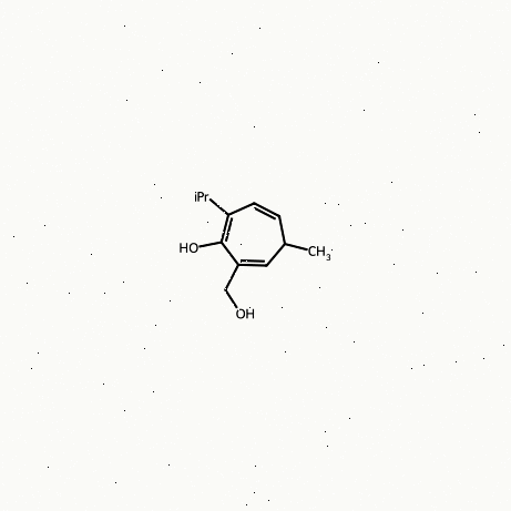 CC1C=CC(C(C)C)=C(O)C(CO)=C1